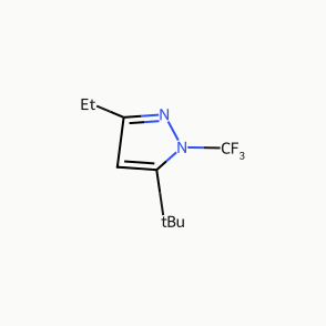 CCc1cc(C(C)(C)C)n(C(F)(F)F)n1